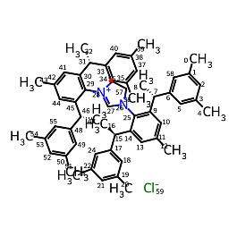 Cc1cc(C)cc([C@@H](C)c2cc(C)cc([C@H](C)c3cc(C)cc(C)c3)c2N2C=[N+](c3c([C@H](C)c4cc(C)cc(C)c4)cc(C)cc3[C@H](C)c3cc(C)cc(C)c3)CC2)c1.[Cl-]